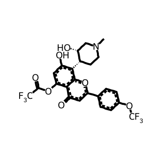 CN1CC[C@H](c2c(O)cc(OC(=O)C(F)(F)F)c3c(=O)cc(-c4ccc(OC(F)(F)F)cc4)oc23)[C@H](O)C1